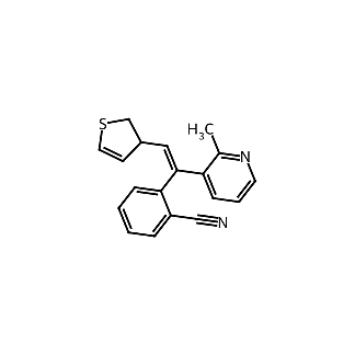 Cc1ncccc1C(=CC1C=CSC1)c1ccccc1C#N